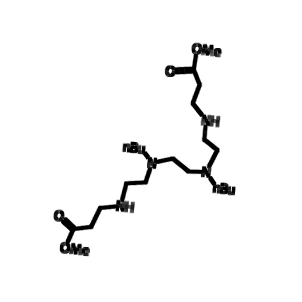 CCCCN(CCNCCC(=O)OC)CCN(CCCC)CCNCCC(=O)OC